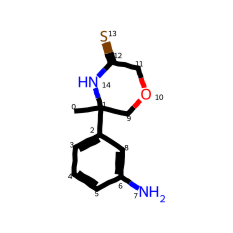 CC1(c2cccc(N)c2)COCC(=S)N1